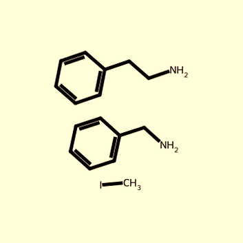 CI.NCCc1ccccc1.NCc1ccccc1